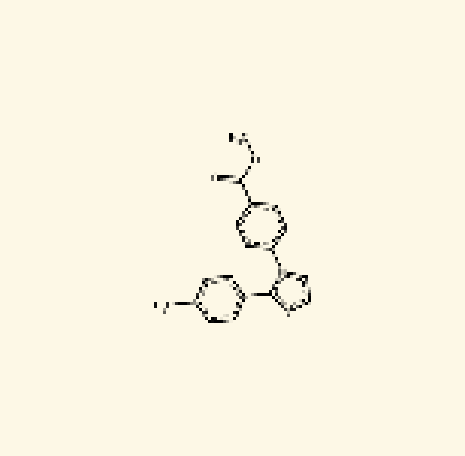 COC(=O)c1ccc(-n2ccnc2-c2ccc(C)cc2)cc1